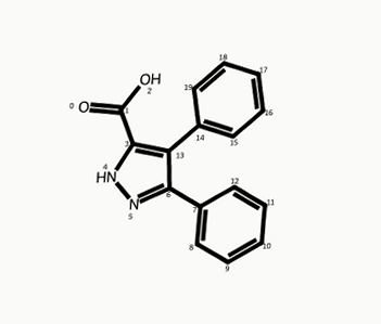 O=C(O)c1[nH]nc(-c2ccccc2)c1-c1ccccc1